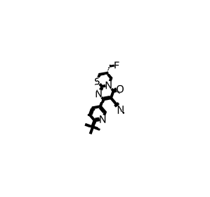 CC(C)(C)c1ccc(-c2nc3n(c(=O)c2C#N)C[C@@H](CF)CS3)cn1